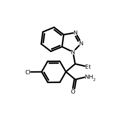 CCC(n1nnc2ccccc21)C1(C(N)=O)C=CC(Cl)=CC1